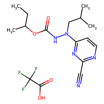 CCC(C)OC(=O)NN(CC(C)C)c1ccnc(C#N)n1.O=C(O)C(F)(F)F